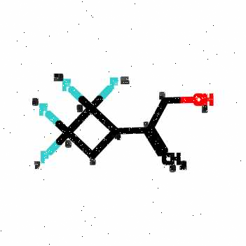 C=C(CO)C1CC(F)(F)C1(F)F